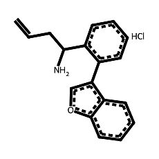 C=CCC(N)c1ccccc1-c1coc2ccccc12.Cl